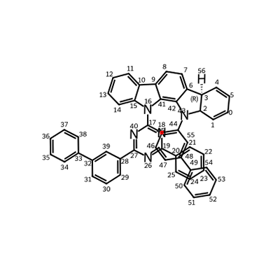 C1=CC2[C@H](C=C1)c1ccc3c4ccccc4n(-c4nc(-c5ccccc5)nc(-c5cccc(-c6ccccc6)c5)n4)c3c1N2c1cccc(-c2ccccc2)c1